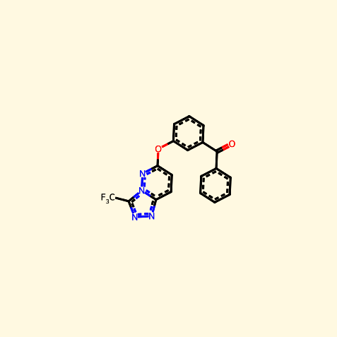 O=C(c1ccccc1)c1cccc(Oc2ccc3nnc(C(F)(F)F)n3n2)c1